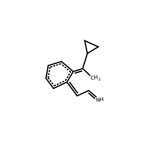 C/C(=c1/cccc/c1=C/C=N)C1CC1